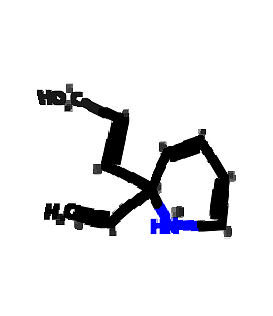 C=CC1(C=CC(=O)O)C=CC=CN1